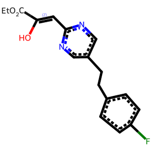 CCOC(=O)/C(O)=C/c1ncc(CCc2ccc(F)cc2)cn1